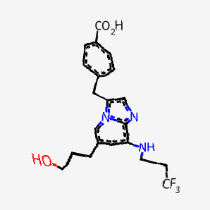 O=C(O)c1ccc(Cc2cnc3c(NCCC(F)(F)F)cc(CCCO)cn23)cc1